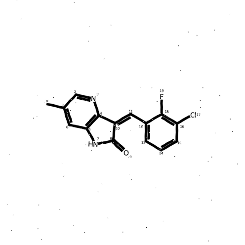 Cc1cnc2c(c1)NC(=O)C2=Cc1cccc(Cl)c1F